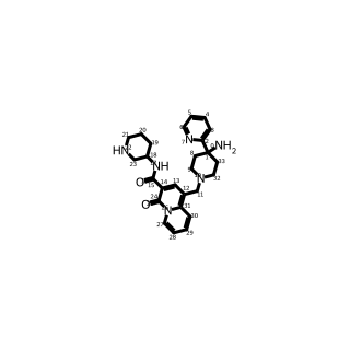 NC1(c2ccccn2)CCN(Cc2cc(C(=O)NC3CCCNC3)c(=O)n3ccccc23)CC1